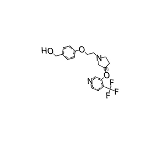 OCc1ccc(OCCN2CC[C@@H](Oc3cnccc3C(F)(F)F)C2)cc1